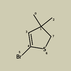 CC1(C)C=C(Br)SC1